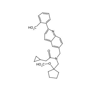 O=C(O)OC1(CN(Cc2ccc3nc(-c4ccccc4C(=O)O)ccc3c2)C(=O)CC2CC2)CCCC1